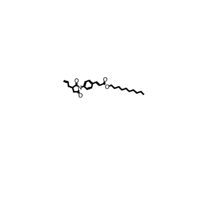 C=CCC1CC(=O)N(c2ccc(C=CC(=O)OCCCCCCCCCC)cc2)C1=O